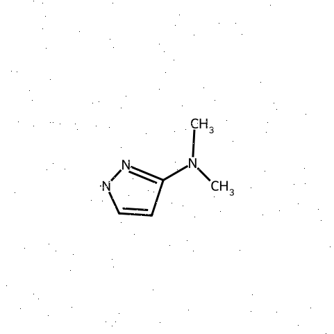 CN(C)C1=N[N]C=C1